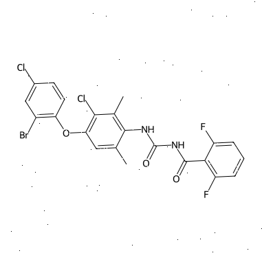 Cc1cc(Oc2ccc(Cl)cc2Br)c(Cl)c(C)c1NC(=O)NC(=O)c1c(F)cccc1F